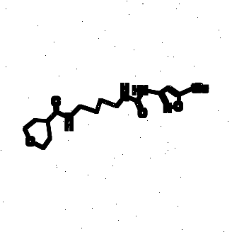 CC(C)(C)c1cc(NC(=O)NCCCCNC(=O)C2CCOCC2)no1